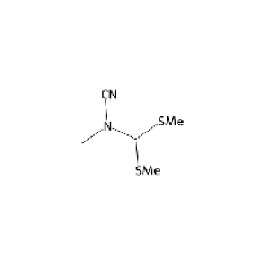 CSC(SC)N(C)C#N